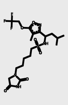 Cc1c(C(CC(C)C)NS(=O)(=O)CCCCCN2CC(=O)NC2=O)noc1OCC(F)(F)F